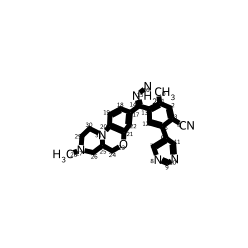 Cc1cc(C#N)c(-c2cncnc2)cc1/C(=N\N)c1ccc2c(c1)OCC1CN(C)CCN21